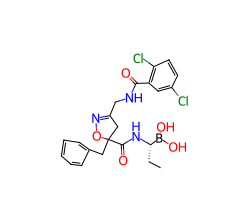 CC[C@H](NC(=O)C1(Cc2ccccc2)CC(CNC(=O)c2cc(Cl)ccc2Cl)=NO1)B(O)O